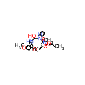 CCCCOC(=O)N(C)[C@H]1C/C=C\CO[C@@H]2C[C@H](NC[C@@H](O)[C@H](Cc3ccccc3)NC1=O)c1cc(OC)ccc12